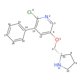 Clc1ncc(OC[C@@H]2CCCN2)cc1-c1ccccc1